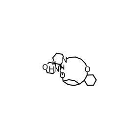 C1CCN2CCC[C@@]3(COCCN3)[C@@H]2COC2CCC(CC2)C2CCCCC2OC1